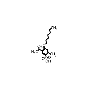 CCCCCCCOc1cc(C)c(S(=O)(=O)O)cc1C(C)C